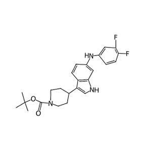 CC(C)(C)OC(=O)N1CCC(c2c[nH]c3cc(Nc4ccc(F)c(F)c4)ccc23)CC1